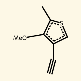 C#Cc1csc(C)c1OC